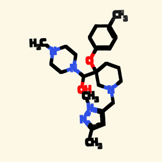 Cc1cc(CN2CCCC(OC3=CC=C(C(F)(F)F)CC3)(C(O)N3CCN(C)CC3)C2)n(C)n1